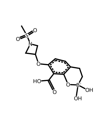 CS(=O)(=O)N1CC(Oc2ccc3c(c2C(=O)O)O[B-](O)(O)CC3)C1